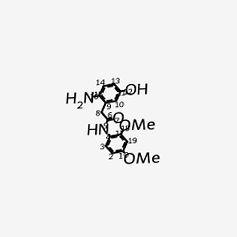 COc1ccc(NC(=O)Cc2cc(O)ccc2N)c(OC)c1